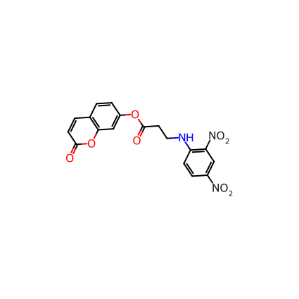 O=C(CCNc1ccc([N+](=O)[O-])cc1[N+](=O)[O-])Oc1ccc2ccc(=O)oc2c1